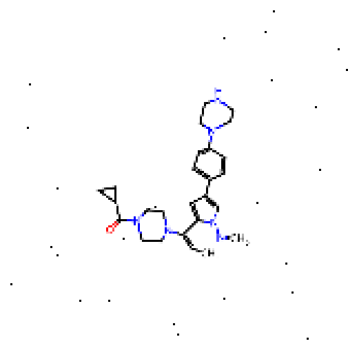 C=Nn1cc(-c2ccc(N3CCNCC3)cc2)cc1/C(=C\C)N1CCN(C(=O)C2CC2)CC1